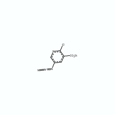 CCOC(=O)c1cc(N=[N+]=[N-])cnc1Cl